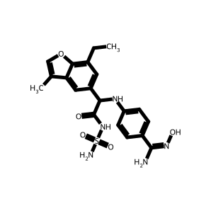 CCc1cc(C(Nc2ccc(/C(N)=N\O)cc2)C(=O)NS(N)(=O)=O)cc2c(C)coc12